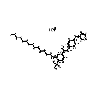 Br.CCCCCCCCCCCCCCOc1cc(C(=O)Nc2ccc(CN3C=CSC3)cc2)ccc1C(C)(C)C